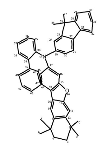 CC1(C)CCC(C)(C)c2cc3c(cc21)oc1cc(N(c2ccc4c(c2)C(C)(C)c2ccccc2-4)c2ccccc2-c2ccccc2)ccc13